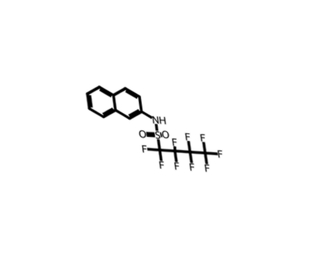 O=S(=O)(Nc1ccc2ccccc2c1)C(F)(F)C(F)(F)C(F)(F)C(F)(F)F